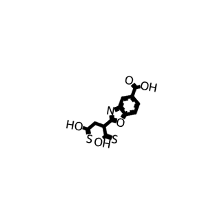 O=C(O)c1ccc2oc(C(CC(O)=S)C(O)=S)nc2c1